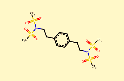 O=S(=O)(N(CCc1ccc(CCN(S(=O)(=O)C(F)(F)F)S(=O)(=O)C(F)(F)F)cc1)S(=O)(=O)C(F)(F)F)C(F)(F)F